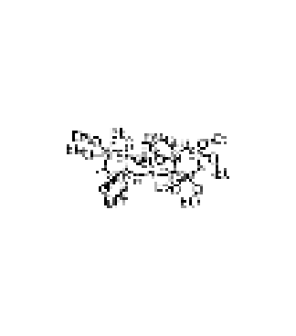 CCO[Si]1(OCC)C[Si](OCC)(OCC)C(CCCC2[Si](OCC)(OCC)C[Si](OCC)(OCC)C[Si]2(OCC)OCC)[Si](OCC)(OCC)C1